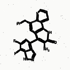 CC(C)Cc1cc2c(-c3cc(F)c(F)c4[nH]ncc34)c(N)c(=O)[nH]c2c2cccnc12